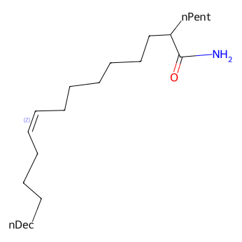 CCCCCCCCCCCCC/C=C\CCCCCCC(CCCCC)C(N)=O